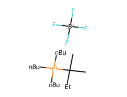 CCCC[P+](CCCC)(CCCC)C(C)(C)CC.F[B-](F)(F)F